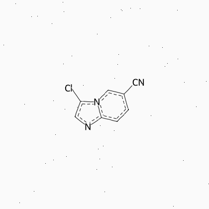 N#Cc1ccc2ncc(Cl)n2c1